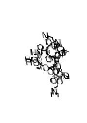 CC[C@H]1OC(=O)[C@H](C)[C@@H](O[C@H]2C[C@@](C)(OC)[C@@H](OC(=O)CCN(CC)CC)[C@H](C)O2)[C@H](C)[C@H]2O[C@@H]3O[C@H](C)C[C@H](N(C)CCC#N)[C@H]3OC(=O)C[C@H](C[C@@]2(C)OC)C(=O)N[C@H](C)[C@@H](O)[C@]1(C)O